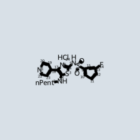 CCCCCNc1sc(NS(=O)(=O)c2cccc(F)c2)nc1-c1ccncc1.Cl